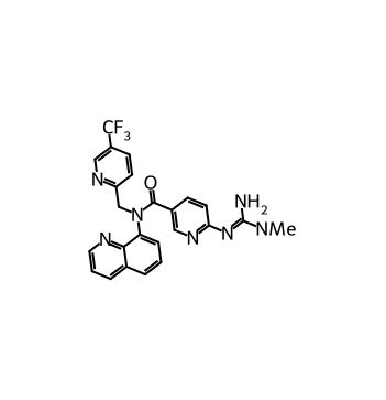 CNC(N)=Nc1ccc(C(=O)N(Cc2ccc(C(F)(F)F)cn2)c2cccc3cccnc23)cn1